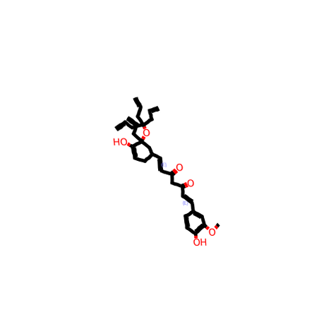 C=CCC(CC=C)(CC=C)OC1(CC=C)CC(/C=C/C(=O)CC(=O)/C=C/c2ccc(O)c(OC)c2)CC=C1O